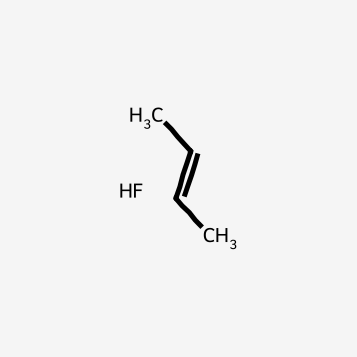 CC=CC.F